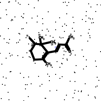 CC(=O)/C=C/C1=C(C)CCC(I)C1(C)C